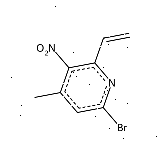 C=Cc1nc(Br)cc(C)c1[N+](=O)[O-]